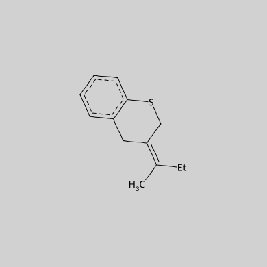 CC/C(C)=C1\CSc2ccccc2C1